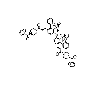 CCOc1ccccc1-c1c(/C=C/C(=O)N2CCN(C(=O)c3ccco3)CC2)ccc(Sc2ccc(/C=C/C(=O)N3CCN(C(=O)c4ccco4)CC3)c(-c3ccccc3OCC)c2C(F)(F)F)c1C(F)(F)F